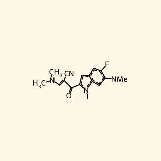 CNc1cc2c(cc1F)cc(C(=O)/C(C#N)=C/N(C)C)n2I